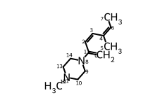 C=C(/C=C\C(C)=C/C)N1CCN(C)CC1